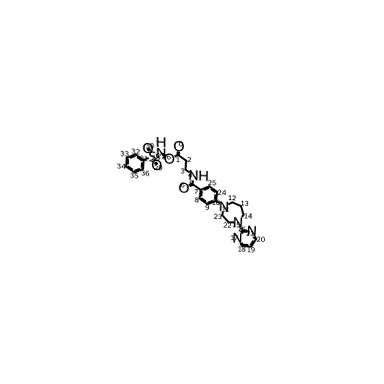 O=C(CCNC(=O)c1ccc(N2CCCN(c3ncccn3)CC2)cc1)ONS(=O)(=O)c1ccccc1